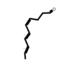 C/C=C/C=C/C=C\CCC=O